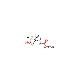 CC(C)(C)OC(=O)B1CC[C@H](O)C(C)(C)C1